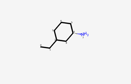 CCC1CCC[C@H](N)C1